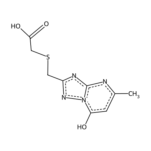 Cc1cc(O)n2nc(CSCC(=O)O)nc2n1